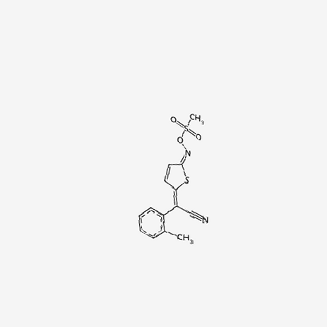 Cc1ccccc1/C(C#N)=C1C=C/C(=N\OS(C)(=O)=O)S\1